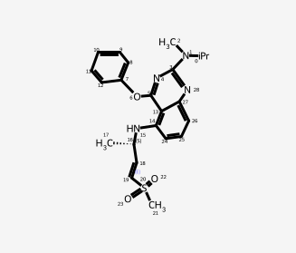 CC(C)N(C)c1nc(Oc2ccccc2)c2c(N[C@@H](C)/C=C/S(C)(=O)=O)cccc2n1